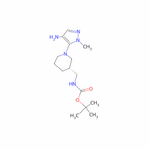 Cn1ncc(N)c1N1CCC[C@@H](CNC(=O)OC(C)(C)C)C1